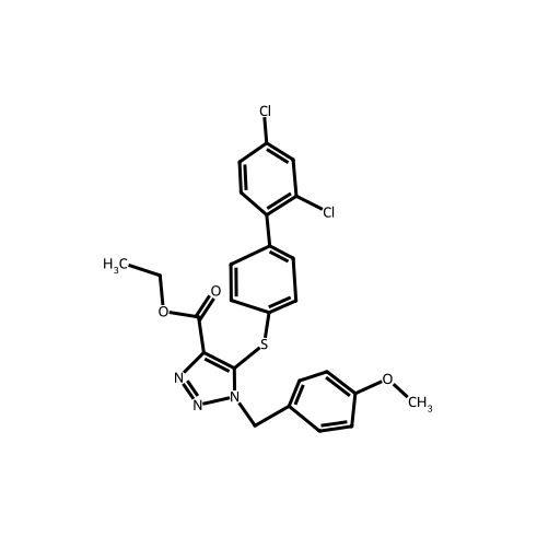 CCOC(=O)c1nnn(Cc2ccc(OC)cc2)c1Sc1ccc(-c2ccc(Cl)cc2Cl)cc1